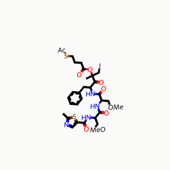 COCC(NC(=O)c1cnc(C)s1)C(=O)NC(COC)C(=O)NC(Cc1ccccc1)C(=O)C(C)(CI)OC(=O)CCCSC(C)=O